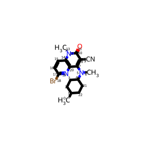 CC1CCC(N(C)c2c(C#N)c(=O)n(C)c3ccc(Br)nc23)CC1